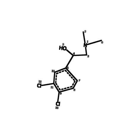 CN(C)CC(O)c1ccc(Cl)c(Cl)c1